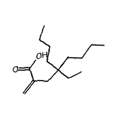 C=C(CC(CC)(CCCC)CCCC)C(=O)O